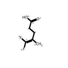 CC(CCC(=O)O)=C(F)F